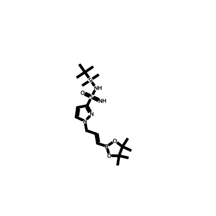 CC1(C)OB(/C=C/Cn2ccc(S(=N)(=O)N[Si](C)(C)C(C)(C)C)n2)OC1(C)C